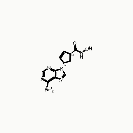 Nc1ncnc2c1ncn2[C@@H]1C=C[C@@H](C(=O)NO)C1